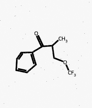 CC(COC(F)(F)F)C(=O)c1ccccc1